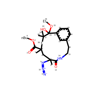 CCCCOC(=O)C1(C)CC(C)(N=[N+]=[N-])C(=O)NCCc2cccc(c2)C(O)(OCC)C(C)(C)C1